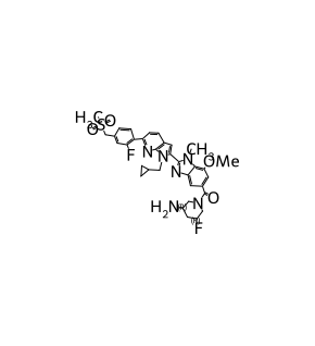 COc1cc(C(=O)N2C[C@H](N)C[C@@H](F)C2)cc2nc(-c3cc4ccc(-c5ccc(CS(C)(=O)=O)cc5F)nc4n3CC3CC3)n(C)c12